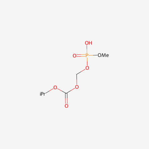 COP(=O)(O)OCOC(=O)OC(C)C